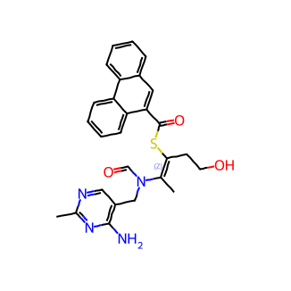 C/C(=C(\CCO)SC(=O)c1cc2ccccc2c2ccccc12)N(C=O)Cc1cnc(C)nc1N